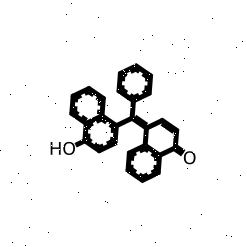 O=C1C=CC(=C(c2ccccc2)c2ccc(O)c3ccccc23)c2ccccc21